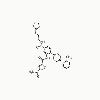 Cc1ccccc1N1CCN(c2ccc(C(=O)NCCCN3CCCC3)cc2NC(=O)c2ccc(C(N)=O)o2)CC1